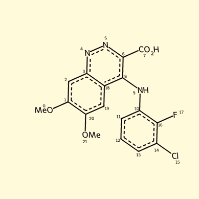 COc1cc2nnc(C(=O)O)c(Nc3cccc(Cl)c3F)c2cc1OC